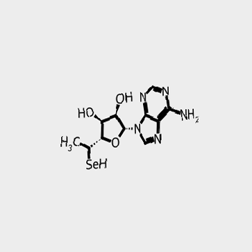 CC([SeH])[C@H]1O[C@@H](n2cnc3c(N)ncnc32)[C@H](O)[C@@H]1O